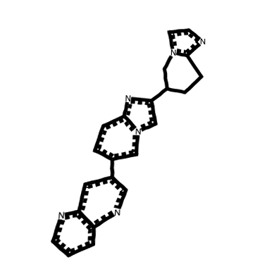 c1cnc2cc(-c3ccc4nc(C5CCc6nccn6C5)cn4c3)cnc2c1